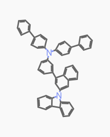 c1ccc(-c2ccc(N(c3ccc(-c4ccccc4)cc3)c3cccc(-c4cc(-n5c6ccccc6c6ccccc65)cc5ccccc45)c3)cc2)cc1